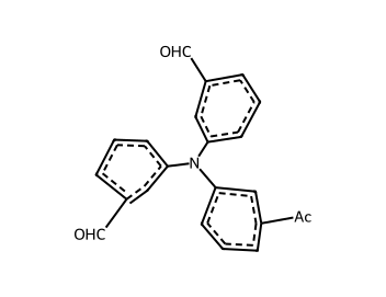 CC(=O)c1cccc(N(c2cccc(C=O)c2)c2cccc(C=O)c2)c1